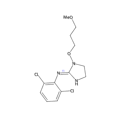 COCCCON1CCN/C1=N\c1c(Cl)cccc1Cl